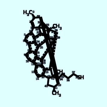 CC1C=C2c3ccc4c5ccc6c7ccc8c9c%10c%11c%12c%13c%14c(c3c4c%13c5c6c%12c97)C2(C)C2=C(C3(CCCS)C(=C21)C(C)CC8C%103C)[C@]%14%11C